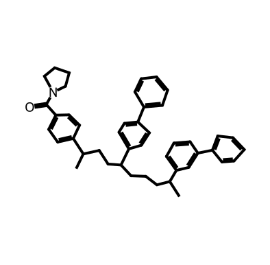 CC(CCCC(CCC(C)c1ccc(C(=O)N2CCCC2)cc1)c1ccc(-c2ccccc2)cc1)c1cccc(-c2ccccc2)c1